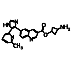 Cc1cccc(-c2[nH]cnc2-c2ccc3ncc(C(=O)OC4CC(N)C4)cc3c2)n1